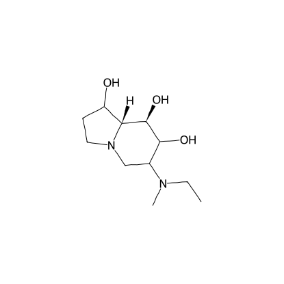 CCN(C)C1CN2CCC(O)[C@@H]2[C@@H](O)C1O